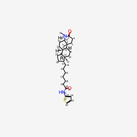 CN1C(=O)CC[C@]2(C)[C@H]3CC[C@]4(C)[C@@H](CCCCCCC(=O)Nc5cccs5)CC[C@H]4[C@@H]3CC[C@@H]12